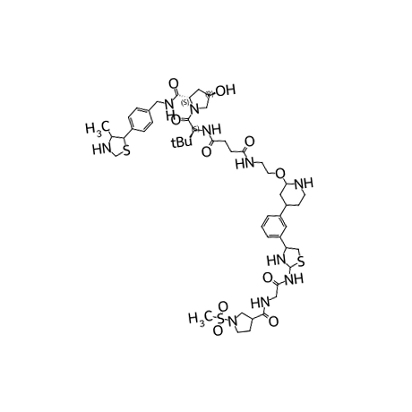 CC1NCSC1c1ccc(CNC(=O)[C@@H]2C[C@@H](O)CN2C(=O)[C@@H](NC(=O)CCC(=O)NCCOC2CC(c3cccc(C4CSC(NC(=O)CNC(=O)C5CCN(S(C)(=O)=O)C5)N4)c3)CCN2)C(C)(C)C)cc1